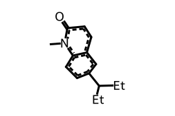 CCC(CC)c1ccc2c(ccc(=O)n2C)c1